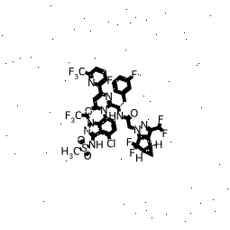 CS(=O)(=O)Nc1nn(CC(F)(F)F)c2c(-n3c([C@H](Cc4cc(F)cc(F)c4)NC(=O)Cn4nc(C(F)F)c5c4C(F)(F)[C@@H]4C[C@H]54)nc(-c4cccc(C(F)(F)F)n4)cc3=O)ccc(Cl)c12